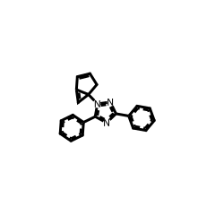 C1=CC2=CC2(n2nc(-c3ccccc3)nc2-c2ccccc2)C1